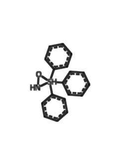 c1ccc([SH]2(c3ccccc3)(c3ccccc3)NO2)cc1